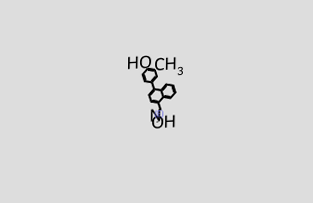 Cc1cc(-c2ccc(/C=N/O)c3ccccc23)ccc1O